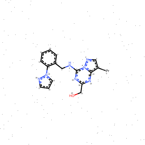 CC(C)c1cnn2c(NCc3ccccc3-n3cccn3)nc(CO)nc12